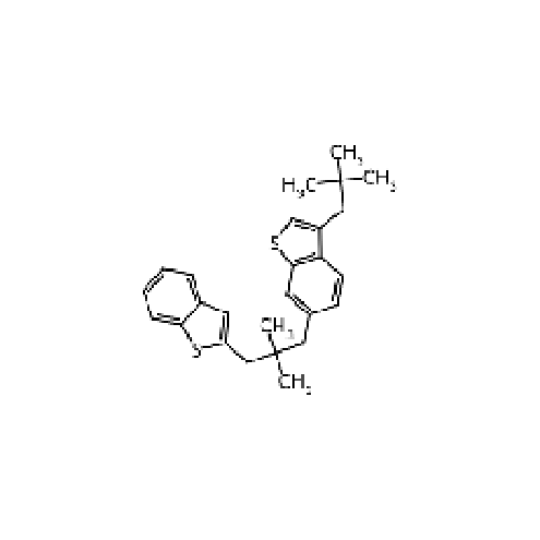 CC(C)(C)Cc1csc2cc(CC(C)(C)Cc3cc4ccccc4s3)ccc12